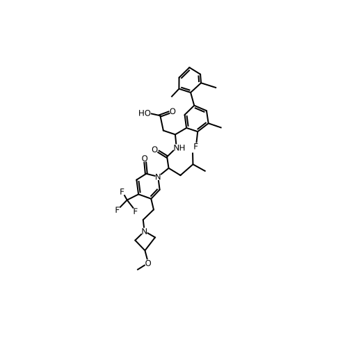 COC1CN(CCc2cn(C(CC(C)C)C(=O)NC(CC(=O)O)c3cc(-c4c(C)cccc4C)cc(C)c3F)c(=O)cc2C(F)(F)F)C1